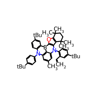 C=Cc1cc(C(C)(C)C)ccc1N1c2cc(C)cc3c2B(c2cc(C(C)(C)C)ccc2N3c2ccc(C(C)(C)C)cc2)c2oc3c(c21)C(C)(C)CCC3(C)C